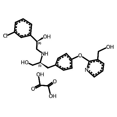 O=C(O)C(=O)O.OCc1cccnc1Oc1ccc(C[C@@H](CO)NC[C@H](O)c2cccc(Cl)c2)cc1